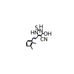 Cc1cccc(/C=C/C2=C(C#N)C(O)NC(=S)N2)c1C